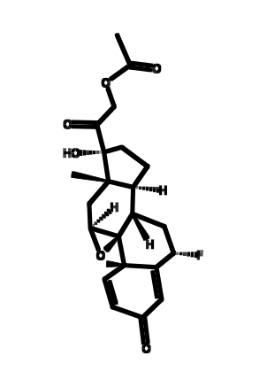 CC(=O)OCC(=O)[C@@]1(O)CC[C@H]2[C@@H]3C[C@H](F)C4=CC(=O)C=C[C@]4(C)[C@@]34O[C@H]4C[C@@]21C